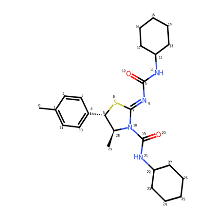 Cc1ccc([C@@H]2S/C(=N\C(=O)NC3CCCCC3)N(C(=O)NC3CCCCC3)[C@H]2C)cc1